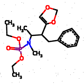 CCOP(=O)(OCC)N(C)C(C)C(Cc1ccccc1)C1=COCO1